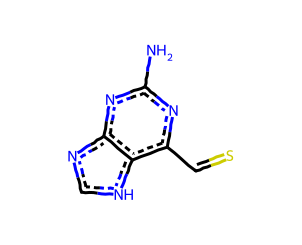 Nc1nc(C=S)c2[nH]cnc2n1